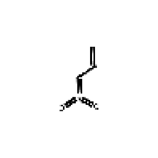 C=C[C]=S(=O)=O